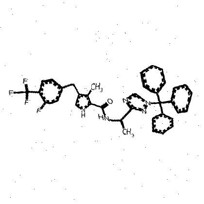 Cc1c(Cc2ccc(C(F)(F)F)c(F)c2)c[nH]c1C(=O)NC(C)c1ncn(C(c2ccccc2)(c2ccccc2)c2ccccc2)n1